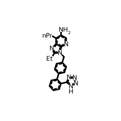 CCCc1c(N)cnc2c1nc(CC)n2Cc1ccc(-c2ccccc2-c2nnn[nH]2)cc1